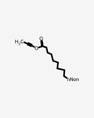 CC#COC(=O)CCCCCCCCCCCCCCCCC